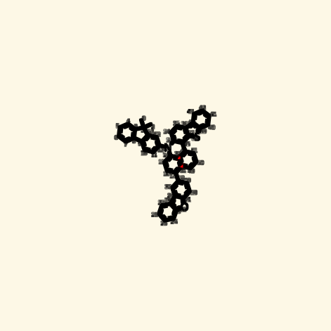 CC1(C)c2ccccc2-c2ccc(N(c3ccc(-c4ccc5oc6ccccc6c5c4)cc3)c3ccc4c(sc5ccccc54)c3-c3ccccc3)cc21